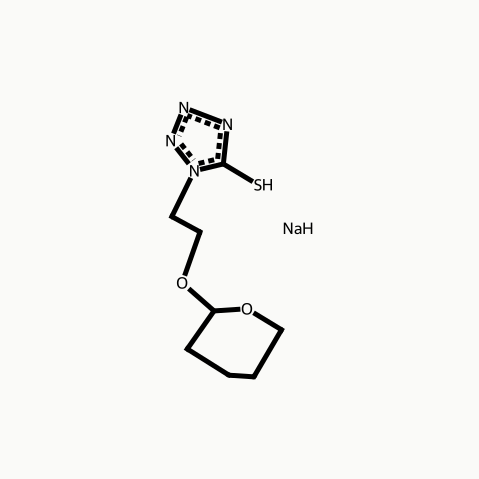 Sc1nnnn1CCOC1CCCCO1.[NaH]